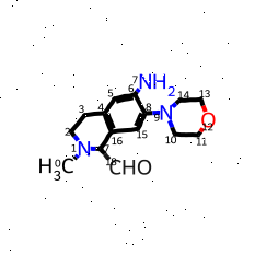 CN1CCc2cc(N)c(N3CCOCC3)cc2C1C=O